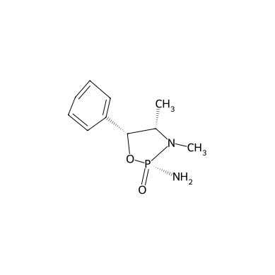 C[C@H]1[C@@H](c2ccccc2)O[P@](N)(=O)N1C